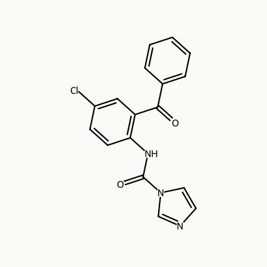 O=C(c1ccccc1)c1cc(Cl)ccc1NC(=O)n1ccnc1